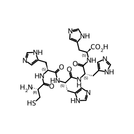 N[C@@H](CS)C(=O)N[C@@H](Cc1cnc[nH]1)C(=O)N[C@@H](Cc1cnc[nH]1)C(=O)N[C@@H](Cc1cnc[nH]1)C(=O)N[C@@H](Cc1cnc[nH]1)C(=O)O